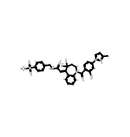 Cc1ccn(-c2ccc(C(=O)N3CCC(F)(F)C(=CC(=O)NCc4ccc(S(N)(=O)=O)cc4)c4ccccc43)c(Cl)c2)n1